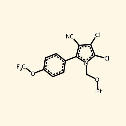 CCOCn1c(Cl)c(Cl)c(C#N)c1-c1ccc(OC(F)(F)F)cc1